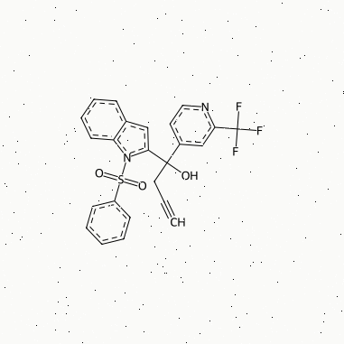 C#CCC(O)(c1ccnc(C(F)(F)F)c1)c1cc2ccccc2n1S(=O)(=O)c1ccccc1